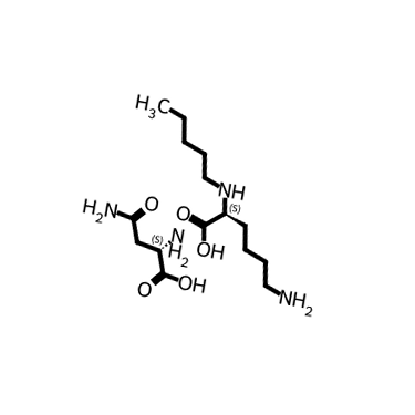 CCCCCN[C@@H](CCCCN)C(=O)O.NC(=O)C[C@H](N)C(=O)O